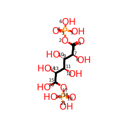 O=C(OP(=O)(O)O)[C@@H](O)[C@@H](O)[C@@H](O)[C@H](O)C(O)OP(=O)(O)O